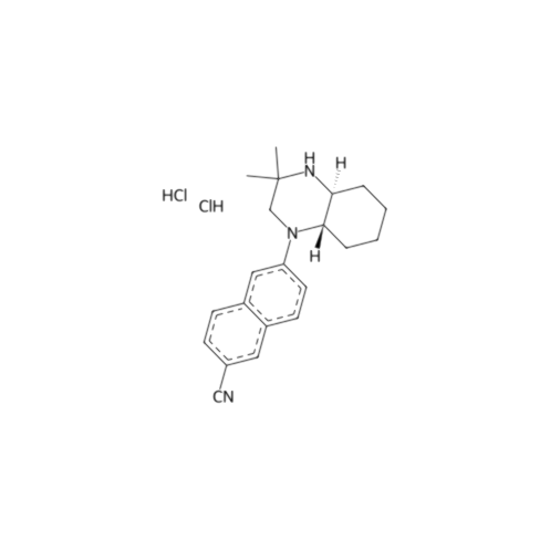 CC1(C)CN(c2ccc3cc(C#N)ccc3c2)[C@H]2CCCC[C@@H]2N1.Cl.Cl